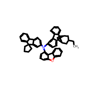 CCC1CC2CCCC(C1)C21c2ccccc2-c2cc(N(c3ccc4c(c3)C3(CCCC3)c3ccccc3-4)c3cccc4oc5ccccc5c34)ccc21